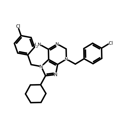 NC1=NCN(Cc2ccc(Cl)cc2)c2nc(C3CCCCC3)n(Cc3ccc(Cl)cc3)c21